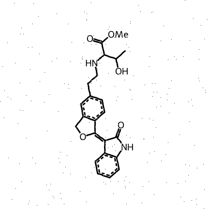 COC(=O)C(NCCc1ccc2c(c1)COC2=C1C(=O)Nc2ccccc21)C(C)O